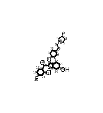 C[C@H]1CCN(CCc2ccc(Oc3c(C(=O)c4ccc(F)cc4Cl)sc4cc(O)ccc34)cc2)C1